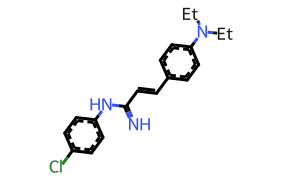 CCN(CC)c1ccc(/C=C/C(=N)Nc2ccc(Cl)cc2)cc1